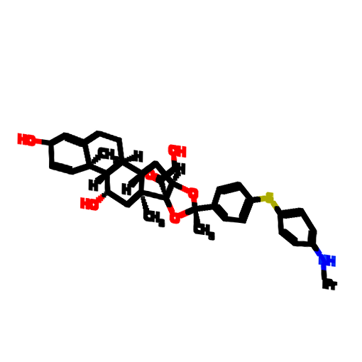 CC(C)Nc1ccc(Sc2ccc([C@@]3(C)O[C@@H]4C[C@H]5[C@@H]6CCC7=CC(O)C=C[C@]7(C)[C@H]6[C@@H](O)C[C@]5(C)[C@]4(C(=O)CO)O3)cc2)cc1